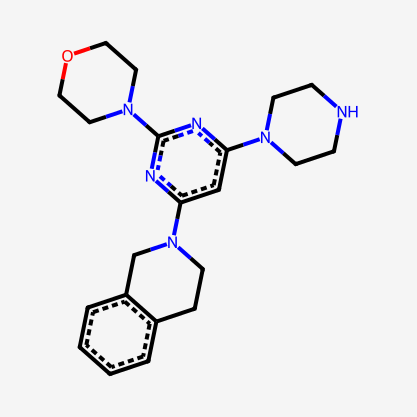 c1ccc2c(c1)CCN(c1cc(N3CCNCC3)nc(N3CCOCC3)n1)C2